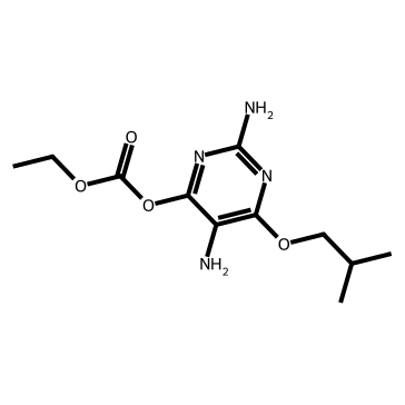 CCOC(=O)Oc1nc(N)nc(OCC(C)C)c1N